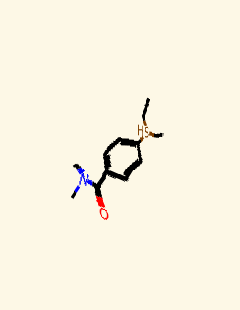 CC[SH](C)c1ccc(C(=O)N(C)C)cc1